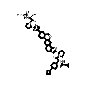 COC(=O)N[C@H](C(=O)N1CCC[C@H]1c1ncc(-c2ccc3c(c2)COc2cc4c(cc2-3)CCc2nc([C@@H]3CCCN3C(=O)[C@H](NC(=O)C3CC3)c3ccc(C5CCC5)cc3)[nH]c2-4)[nH]1)C(C)C